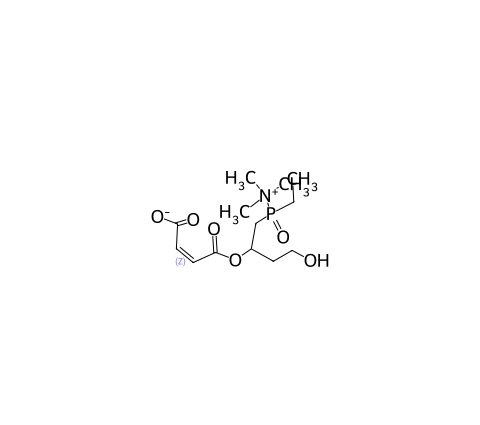 CCP(=O)(CC(CCO)OC(=O)/C=C\C(=O)[O-])[N+](C)(C)C